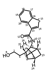 CC1(C)[C@H]2C[C@H](CCO)[C@@H](NC(=O)c3csc4ccccc34)[C@@H]1C2